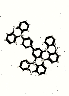 C1=C(c2cc3c4c(c2)N2c5ccccc5Oc5cccc(c52)B4c2cccc4c2N3c2ccccc2O4)CCC(N2c3ccccc3Oc3ccccc32)=C1